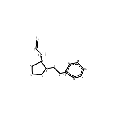 O=CN[C@@H]1CCCN1CCc1ccccc1